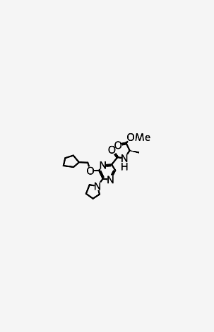 COC(=O)[C@@H](C)NC(=O)c1cnc(N2CCCC2)c(OCC2CCCC2)n1